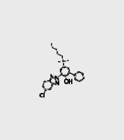 CCCCCC(C)(C)c1cc(-c2ccccc2)c(O)c(-n2nc3ccc(Cl)cc3n2)c1